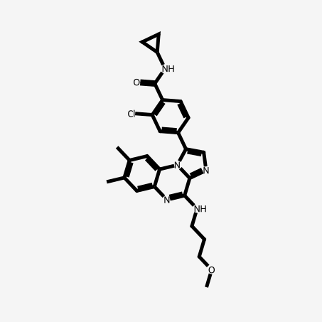 COCCCNc1nc2cc(C)c(C)cc2n2c(-c3ccc(C(=O)NC4CC4)c(Cl)c3)cnc12